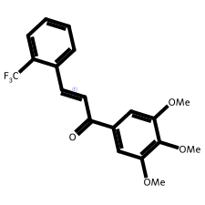 COc1cc(C(=O)/C=C/c2ccccc2C(F)(F)F)cc(OC)c1OC